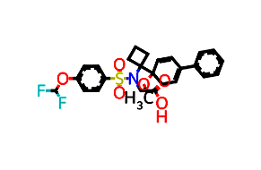 COC1(C2(N(CC(=O)O)S(=O)(=O)c3ccc(OC(F)F)cc3)CCC2)C=CC(c2ccccc2)=CC1